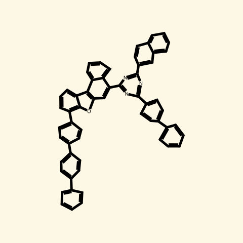 c1ccc(-c2ccc(-c3ccc(-c4cccc5c4oc4cc(-c6nc(-c7ccc(-c8ccccc8)cc7)nc(-c7ccc8ccccc8c7)n6)c6ccccc6c45)cc3)cc2)cc1